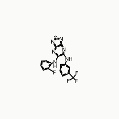 Fc1ccccc1Nc1nc2nonc2nc1Nc1cccc(C(F)(F)F)c1